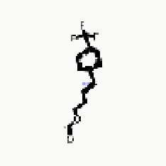 O=[C]OCC/C=C/c1ccc(C(F)(F)F)cc1